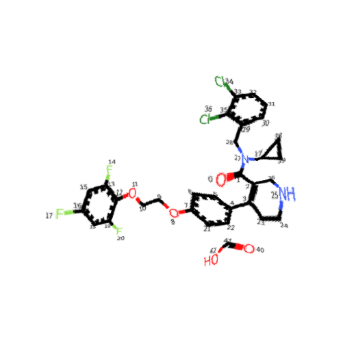 O=C(C1=C(c2ccc(OCCOc3c(F)cc(F)cc3F)cc2)CCNC1)N(Cc1cccc(Cl)c1Cl)C1CC1.O=CO